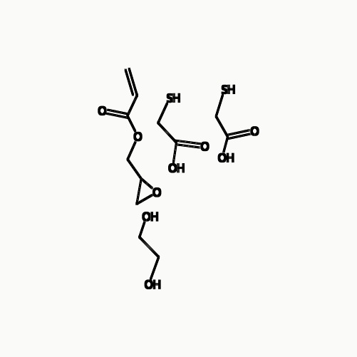 C=CC(=O)OCC1CO1.O=C(O)CS.O=C(O)CS.OCCO